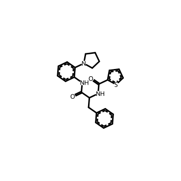 O=C(NC(Cc1ccccc1)C(=O)Nc1ccccc1N1CCCC1)c1cccs1